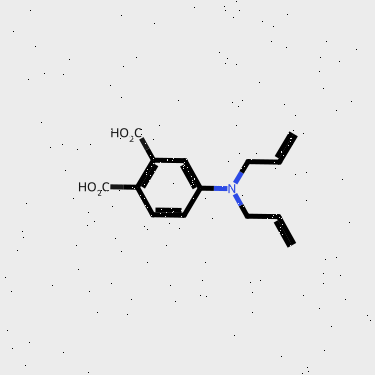 C=CCN(CC=C)c1ccc(C(=O)O)c(C(=O)O)c1